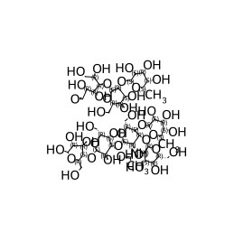 CC(=O)N[C@H]1[C@H](O[C@H]2[C@@H](O)[C@@H](CO)O[C@@H](O[C@H]3[C@H](O)[C@@H](O)C(O)O[C@@H]3CO)[C@@H]2O)O[C@H](CO)[C@@H](O[C@@H]2O[C@@H](C)[C@@H](O)[C@@H](O)[C@@H]2O)[C@@H]1O[C@@H]1O[C@H](CO)[C@H](O)[C@H](O)[C@H]1O.C[C@@H]1O[C@@H](O[C@H]2[C@H](O[C@@H]([C@H](O)[C@@H](O)C=O)[C@H](O)CO)O[C@H](CO)[C@H](O)[C@@H]2O)[C@@H](O)[C@H](O)[C@@H]1O